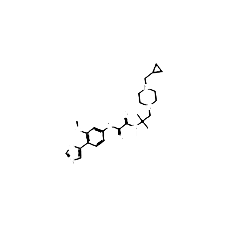 COc1cc(NC(=O)C(=O)NC(C)(C)CN2CCN(CC3CC3)CC2)ccc1-c1cnco1